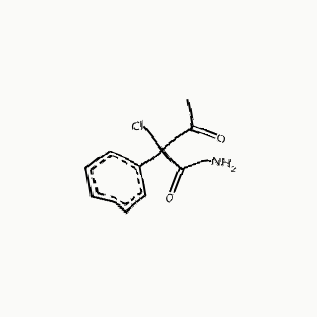 CC(=O)C(Cl)(C(N)=O)c1ccccc1